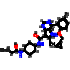 CCc1ccc(OCC2CC2)c(-c2ncnc3c(C(=O)NC4CCC(NC(=O)COC)CC4)c(C)[nH]c23)c1